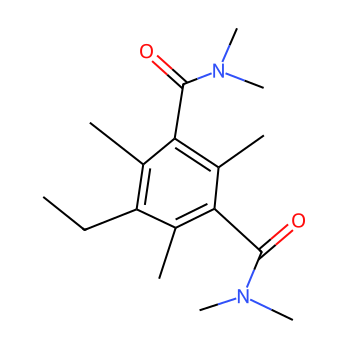 CCc1c(C)c(C(=O)N(C)C)c(C)c(C(=O)N(C)C)c1C